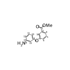 COC(=O)c1cccc(Oc2cccc(N)c2)c1